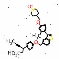 CC#CC(CC(=O)O)c1ccc(OCc2ccc3scc(-c4ccc(OCC5CC[S+]([O-])CC5)cc4C)c3c2)cc1